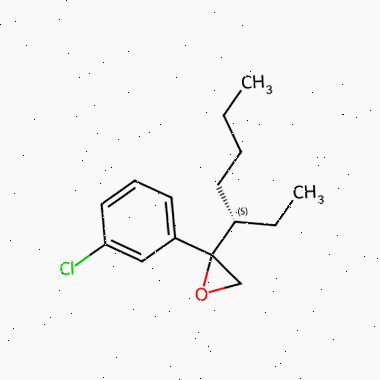 CCCC[C@H](CC)C1(c2cccc(Cl)c2)CO1